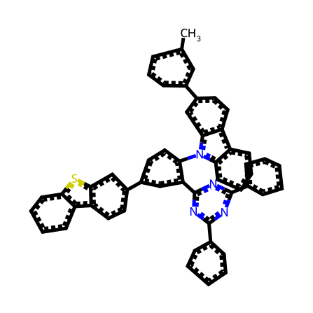 Cc1cccc(-c2ccc3c4ccccc4n(-c4ccc(-c5ccc6c(c5)sc5ccccc56)cc4-c4nc(-c5ccccc5)nc(-c5ccccc5)n4)c3c2)c1